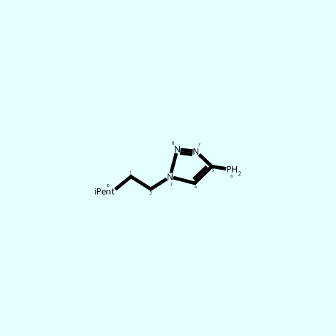 CCCC(C)CCn1cc(P)nn1